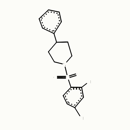 O=S(=O)(c1ccc(Cl)cc1Cl)N1CCC(c2ccccc2)CC1